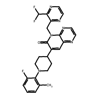 Cc1cccc(F)c1N1CCC(c2cc3nccnc3n(Cc3nccnc3C(F)F)c2=O)CC1